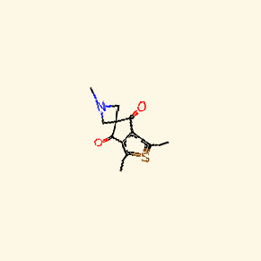 Cc1sc(C)c2c1C(=O)C1(CN(C)C1)C2=O